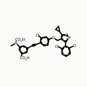 CCOC(=O)N(C)c1cc(C#Cc2ccc(OCc3c(-c4c(Cl)cccc4Cl)noc3C3CC3)cc2Cl)cc(C(=O)O)c1